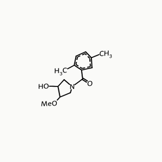 COC1CN(C(=O)c2cc(C)ccc2C)CC1O